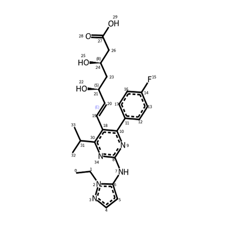 CCn1nccc1Nc1nc(-c2ccc(F)cc2)c(/C=C/[C@@H](O)C[C@@H](O)CC(=O)O)c(C(C)C)n1